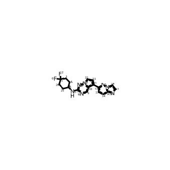 FC1(F)CCC(Nc2ncc3c(-c4ccc5nccn5n4)ccn3n2)CC1